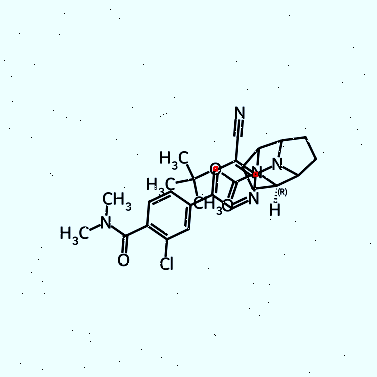 CN(C)C(=O)c1ccc(-c2cnc(N3C4CCC3[C@H]3CCC4N3C(=O)OC(C)(C)C)c(C#N)c2)cc1Cl